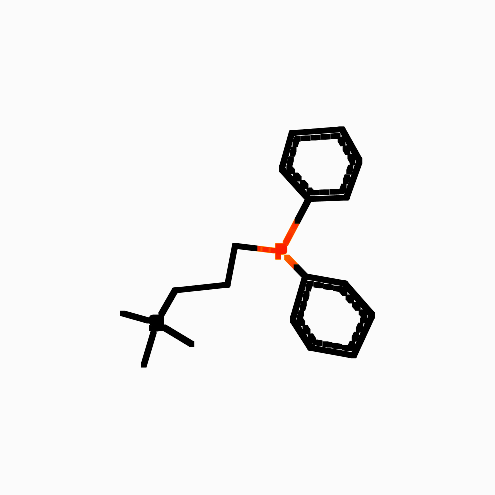 C[Si](C)(C)CCCP(c1ccccc1)c1ccccc1